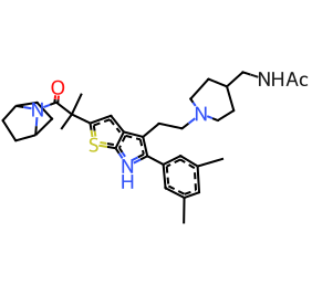 CC(=O)NCC1CCN(CCc2c(-c3cc(C)cc(C)c3)[nH]c3sc(C(C)(C)C(=O)N4C5CCC4CC5)cc23)CC1